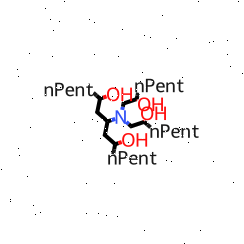 CCCCCC(O)CC(CC(O)CCCCC)N(CC(O)CCCCC)CC(O)CCCCC